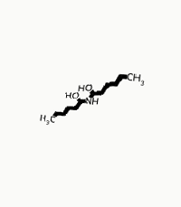 CCCCCC(O)NC(O)CCCCC